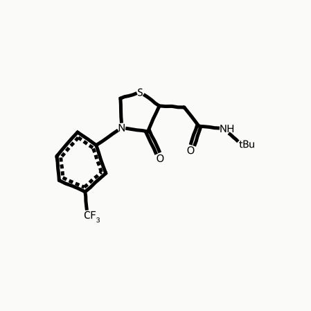 CC(C)(C)NC(=O)CC1SCN(c2cccc(C(F)(F)F)c2)C1=O